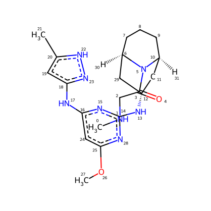 CNCC(=O)N1[C@@H]2CCC[C@H]1C[C@H](Nc1nc(Nc3cc(C)[nH]n3)cc(OC)n1)C2